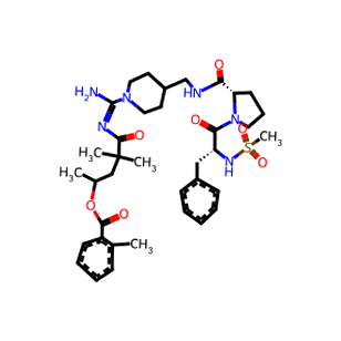 Cc1ccccc1C(=O)OC(C)CC(C)(C)C(=O)/N=C(/N)N1CCC(CNC(=O)[C@@H]2CCCN2C(=O)[C@@H](Cc2ccccc2)NS(C)(=O)=O)CC1